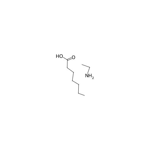 CCCCCCC(=O)O.CCN